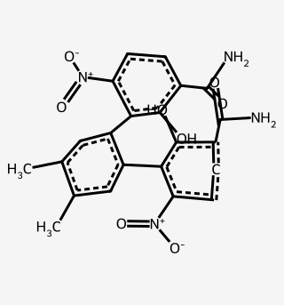 Cc1cc(-c2c([N+](=O)[O-])ccc(C(N)=O)c2O)c(-c2c([N+](=O)[O-])ccc(C(N)=O)c2O)cc1C